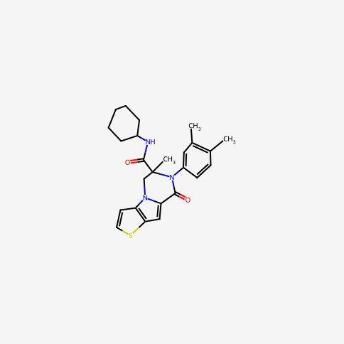 Cc1ccc(N2C(=O)c3cc4sccc4n3CC2(C)C(=O)NC2CCCCC2)cc1C